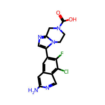 Nc1cc2cc(-c3cnc4n3CCN(C(=O)O)C4)c(F)c(Cl)c2cn1